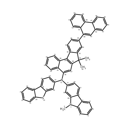 Cn1c2ccccc2c2ccc(N(c3ccc4c(c3)sc3ccccc34)c3cc4c(c5ccccc35)-c3ccc(-c5cc6ccccc6c6ccccc56)cc3C4(C)C)cc21